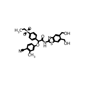 CCS(=O)(=O)c1ccc(C(Oc2ccc(C#N)c(C)c2)C(=O)Nc2nc3cc(CO)c(CO)cc3s2)cc1